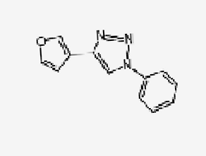 c1ccc(-n2cc(-c3ccoc3)nn2)cc1